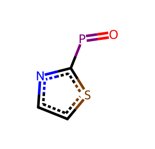 O=Pc1nccs1